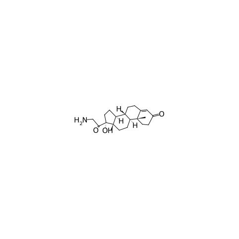 C[C@]12CCC(=O)C=C1CC[C@@H]1[C@@H]2CC[C@@]2(C)[C@H]1CC[C@]2(O)C(=O)CN